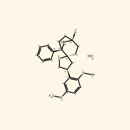 CC(C)Oc1ccc(OC(F)(F)F)cc1[C@H]1CO[C@]2(CC[C@H]3CC[C@]2(c2ccccc2)N3)C1.Cl